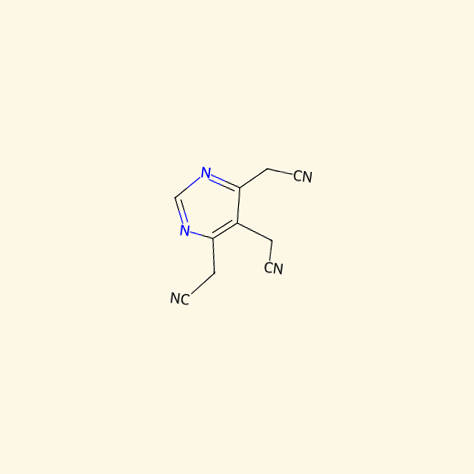 N#CCc1ncnc(CC#N)c1CC#N